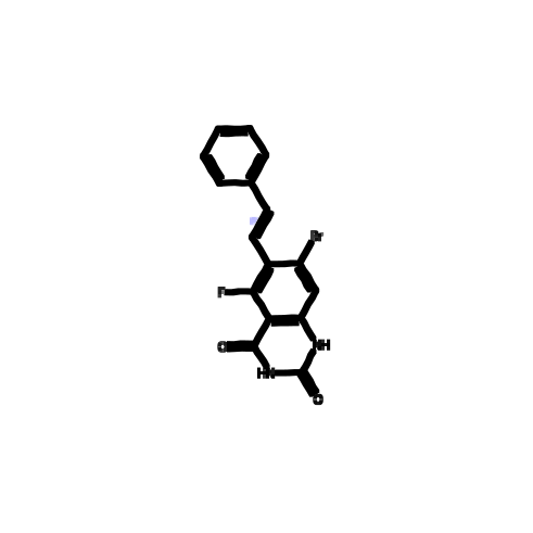 O=c1[nH]c(=O)c2c(F)c(/C=C/c3ccccc3)c(Br)cc2[nH]1